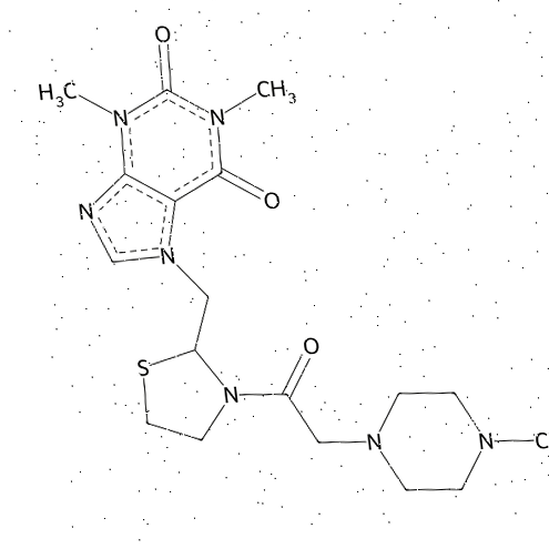 CN1CCN(CC(=O)N2CCSC2Cn2cnc3c2c(=O)n(C)c(=O)n3C)CC1